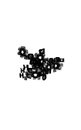 Cc1ccc(F)c(C(C)[C@@H](c2n[nH]c(=O)o2)N2CN(CCO[Si](c3ccccc3)(c3ccccc3)C(C)(C)C)c3cc(Cl)cc(C(C)OCc4ccccc4)c3S2(=O)=O)c1C